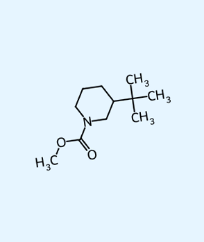 COC(=O)N1CCCC(C(C)(C)C)C1